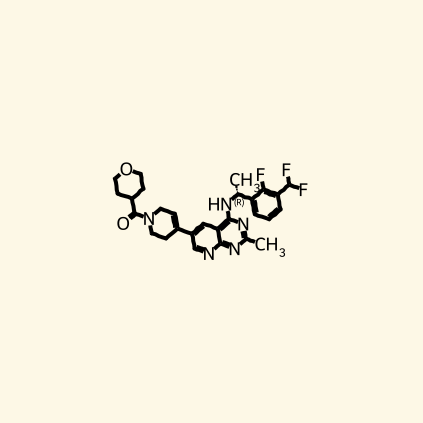 Cc1nc(N[C@H](C)c2cccc(C(F)F)c2F)c2cc(C3=CCN(C(=O)C4CCOCC4)CC3)cnc2n1